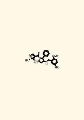 COc1ccc(C(C)(C)C)cc1CNC1CCN(C(=O)c2cnn(C(C)(C)C)c2C#N)C1c1ccccc1